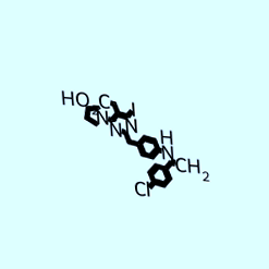 C=C(Nc1ccc(Cc2nc(I)c(CC(=O)O)c(N3CCCC3)n2)cc1)c1ccc(Cl)cc1